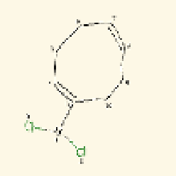 [Cl][Ir]([Cl])[C]1=CCCC=CCC1